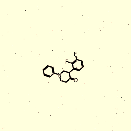 O=C1CCN(c2ccccc2)CC1c1cccc(F)c1F